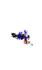 COCCN(CCc1cccs1)c1nc2nc(SCc3ccccc3)nc(N)c2s1